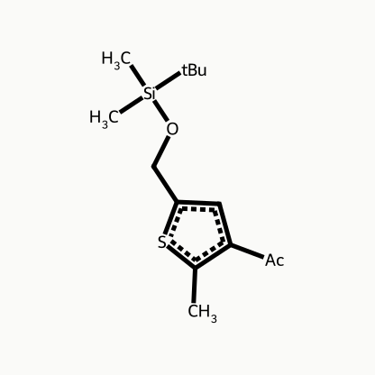 CC(=O)c1cc(CO[Si](C)(C)C(C)(C)C)sc1C